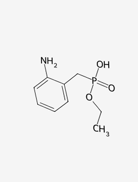 CCOP(=O)(O)Cc1ccccc1N